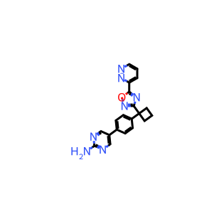 Nc1ncc(-c2ccc(C3(c4noc(-c5cccnn5)n4)CCC3)cc2)cn1